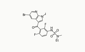 CCN(C)S(=O)(=O)Nc1ccc(F)c(C(=O)c2cn(I)c3ncc(Br)cc23)c1F